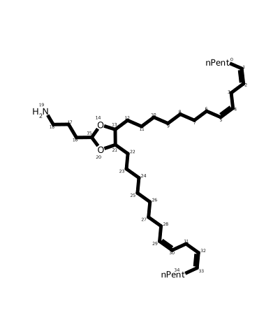 CCCCC/C=C\C/C=C\CCCCCCCC1OC(CCCN)OC1CCCCCCC/C=C\C/C=C\CCCCC